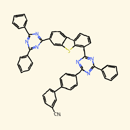 N#Cc1cccc(-c2ccc(-c3nc(-c4ccccc4)nc(-c4cccc5c4sc4cc(-c6nc(-c7ccccc7)nc(-c7ccccc7)n6)ccc45)n3)cc2)c1